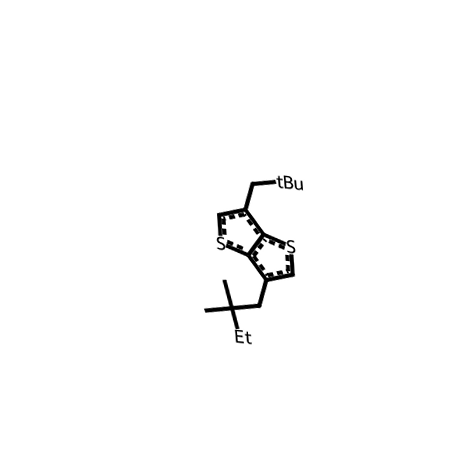 CCC(C)(C)Cc1csc2c(CC(C)(C)C)csc12